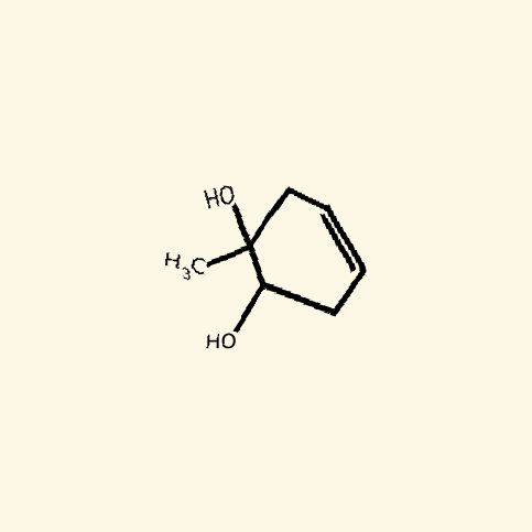 CC1(O)CC=CCC1O